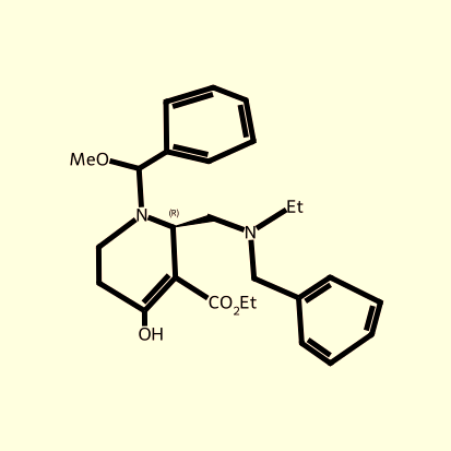 CCOC(=O)C1=C(O)CCN(C(OC)c2ccccc2)[C@H]1CN(CC)Cc1ccccc1